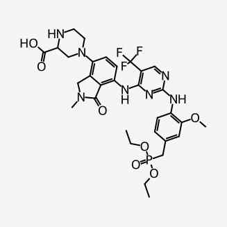 CCOP(=O)(Cc1ccc(Nc2ncc(C(F)(F)F)c(Nc3ccc(N4CCNC(C(=O)O)C4)c4c3C(=O)N(C)C4)n2)c(OC)c1)OCC